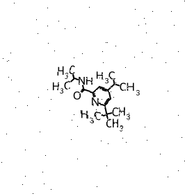 CC(C)NC(=O)c1cc(C(C)C)cc(C(C)(C)C)n1